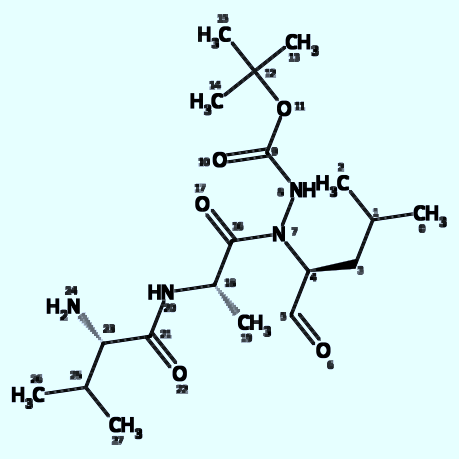 CC(C)C[C@@H](C=O)N(NC(=O)OC(C)(C)C)C(=O)[C@H](C)NC(=O)[C@@H](N)C(C)C